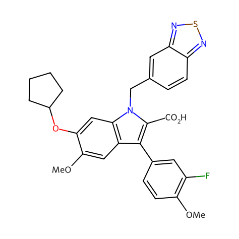 COc1ccc(-c2c(C(=O)O)n(Cc3ccc4nsnc4c3)c3cc(OC4CCCC4)c(OC)cc23)cc1F